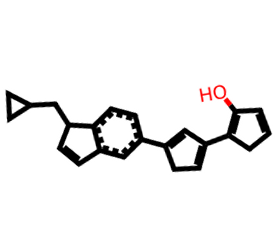 OC1=C(C2=CCC(c3ccc4c(c3)C=CC4CC3CC3)=C2)CC=C1